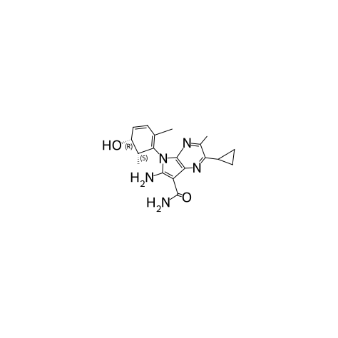 CC1=C(n2c(N)c(C(N)=O)c3nc(C4CC4)c(C)nc32)[C@H](C)[C@H](O)C=C1